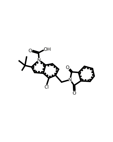 CC(C)(C)c1cc2c(Cl)c(CN3C(=O)c4ccccc4C3=O)ccc2n1C(=O)O